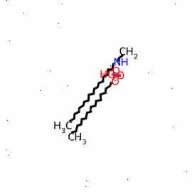 C=CCNCC(CCCCCCCCCCCCCCCCCC)OP(=O)(O)OCCCCCCCCCCCCCCCCCC